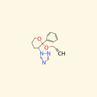 C#CCOC1(c2ccccc2)OCCCC1n1cncn1